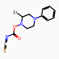 CCC1CN(c2ccccc2)CCN1OC(=O)N=C=S